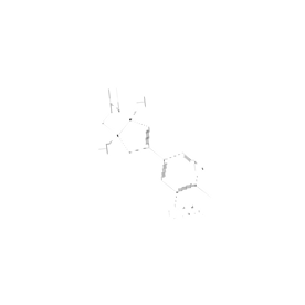 COc1cc(C2=C[C@H]3NC[C@H]3C2)cnc1C